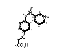 CN(Sc1ccc(OCC(=O)O)cc1)c1cccnc1